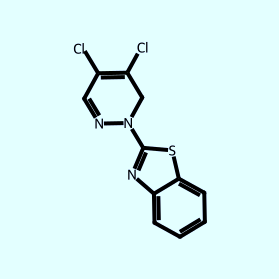 ClC1=C(Cl)CN(c2nc3ccccc3s2)N=C1